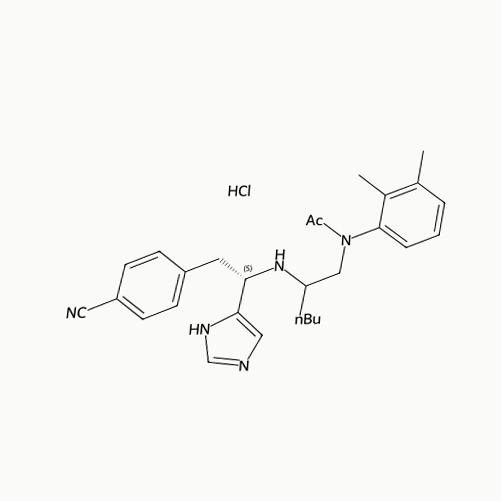 CCCCC(CN(C(C)=O)c1cccc(C)c1C)N[C@@H](Cc1ccc(C#N)cc1)c1cnc[nH]1.Cl